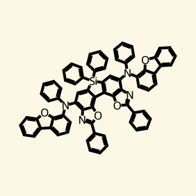 c1ccc(-c2nc3c(N(c4ccccc4)c4cccc5c4oc4ccccc45)cc4c(c3o2)-c2c(cc(N(c3ccccc3)c3cccc5c3oc3ccccc35)c3nc(-c5ccccc5)oc23)[Si]4(c2ccccc2)c2ccccc2)cc1